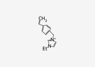 C=Cc1ccc(C[n+]2ccn(CC)c2)cc1